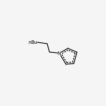 CCCCCCn1[c]cc[c]1